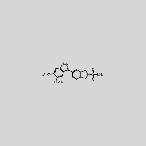 COc1cc2nnn(-c3ccc4c(c3)CN(S(N)(=O)=O)C4)c2cc1OC